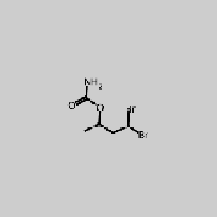 CC(CC(Br)Br)OC(N)=O